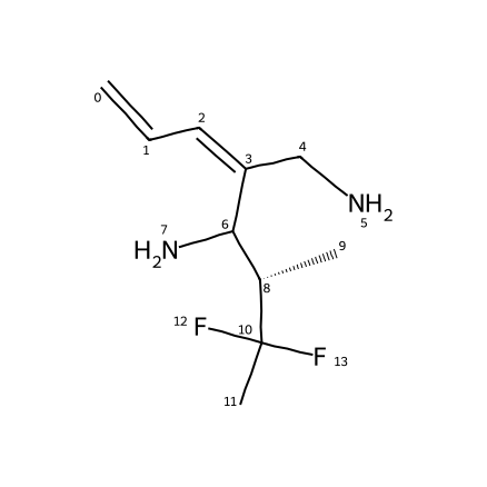 C=C/C=C(/CN)C(N)[C@H](C)C(C)(F)F